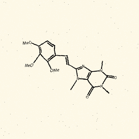 COc1ccc(/C=C/c2nc3c(c(=O)n(C)c(=O)n3C)n2C)c(OC)c1OC